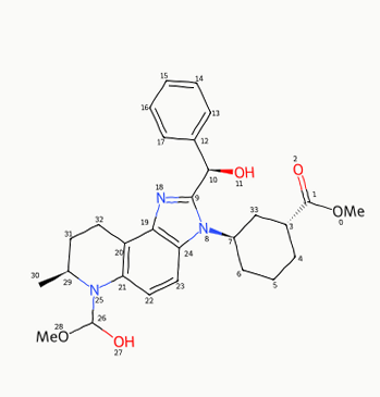 COC(=O)[C@@H]1CCC[C@@H](n2c([C@H](O)c3ccccc3)nc3c4c(ccc32)N(C(O)OC)[C@@H](C)CC4)C1